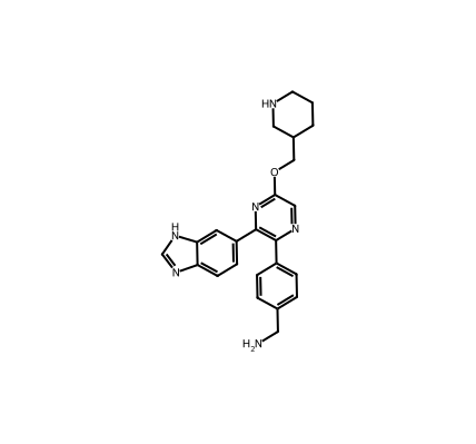 NCc1ccc(-c2ncc(OCC3CCCNC3)nc2-c2ccc3nc[nH]c3c2)cc1